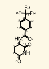 O=C1CCC(NC(=O)c2ccc(C(F)(F)F)cc2)C(=O)N1